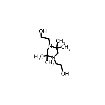 CC1(C)CN(CCO)C(C)(C)CN1CCO